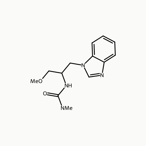 CNC(=O)NC(COC)Cn1cnc2ccccc21